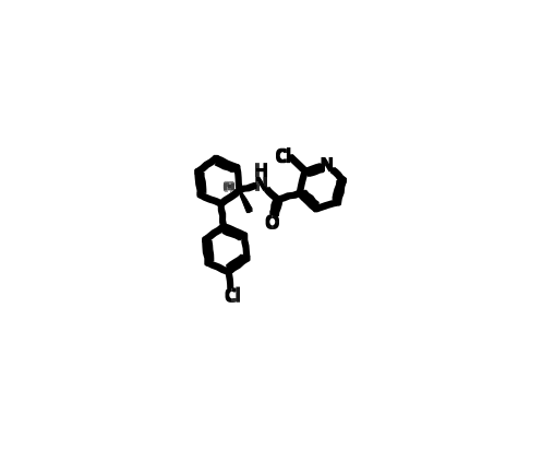 C[C@]1(NC(=O)c2cccnc2Cl)C=CC=CC1c1ccc(Cl)cc1